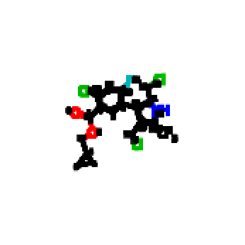 O=C(OCC1CC1)c1cc(-c2c(CCl)[nH]c(C(F)(F)F)c2CCl)c(F)cc1Cl